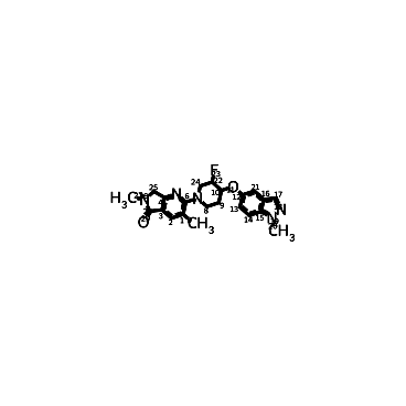 Cc1cc2c(nc1N1CCC(Oc3ccc4c(cnn4C)c3)C(F)C1)CN(C)C2=O